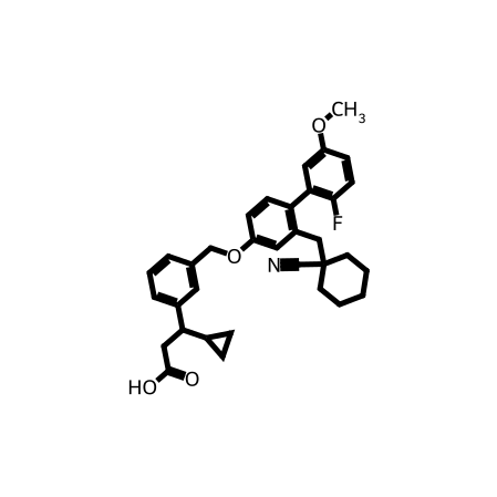 COc1ccc(F)c(-c2ccc(OCc3cccc(C(CC(=O)O)C4CC4)c3)cc2CC2(C#N)CCCCC2)c1